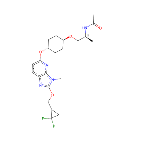 CC(=O)N[C@@H](C)CO[C@H]1CC[C@H](Oc2ccc3nc(OCC4CC4(F)F)n(C)c3n2)CC1